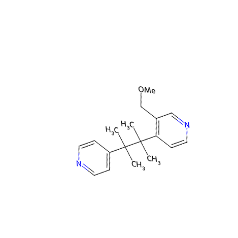 COCc1cnccc1C(C)(C)C(C)(C)c1ccncc1